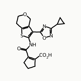 O=C(O)C1=C(C(=O)Nc2sc3c(c2-c2nc(C4CC4)no2)COCC3)CCC1